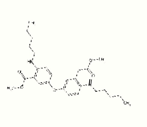 CCCCCNc1ccc(Oc2ccc(NCCCCC)c(C(=O)OC)c2)cc1CC(=O)OC